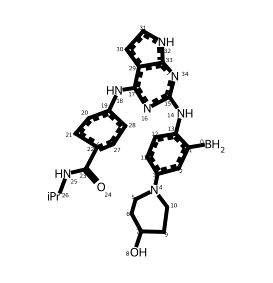 Bc1cc(N2CCC(O)CC2)ccc1Nc1nc(Nc2ccc(C(=O)NC(C)C)cc2)c2cc[nH]c2n1